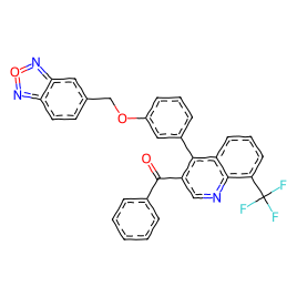 O=C(c1ccccc1)c1cnc2c(C(F)(F)F)cccc2c1-c1cccc(OCc2ccc3nonc3c2)c1